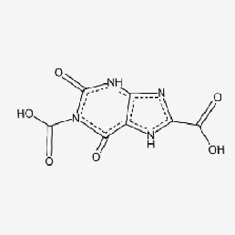 O=C(O)c1nc2[nH]c(=O)n(C(=O)O)c(=O)c2[nH]1